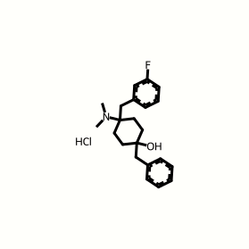 CN(C)C1(Cc2cccc(F)c2)CCC(O)(Cc2ccccc2)CC1.Cl